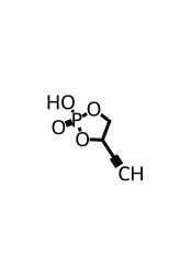 C#CC1COP(=O)(O)O1